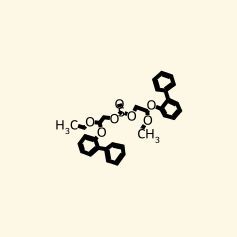 CCOC(COS(=O)OCC(OCC)Oc1ccccc1-c1ccccc1)Oc1ccccc1-c1ccccc1